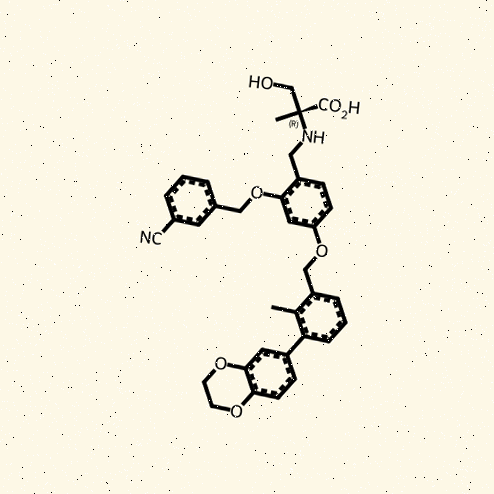 Cc1c(COc2ccc(CN[C@](C)(CO)C(=O)O)c(OCc3cccc(C#N)c3)c2)cccc1-c1ccc2c(c1)OCCO2